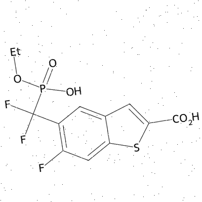 CCOP(=O)(O)C(F)(F)c1cc2cc(C(=O)O)sc2cc1F